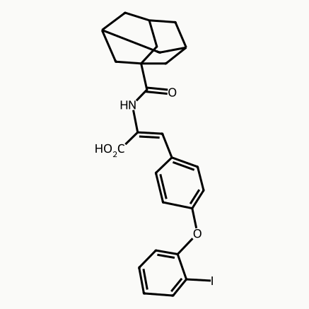 O=C(O)C(=Cc1ccc(Oc2ccccc2I)cc1)NC(=O)C12CC3CC(CC(C3)C1)C2